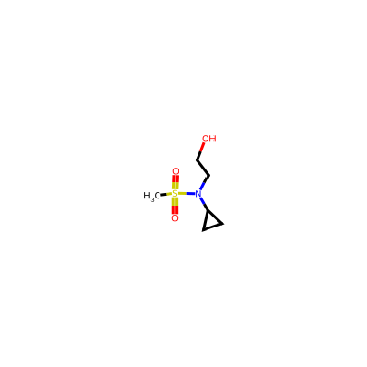 CS(=O)(=O)N(CCO)C1CC1